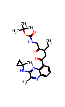 CCC(CC(=O)c1cccc2nc(C)c(NC3(C)CC3)nc12)C(=O)CNC(=O)OC(C)(C)C